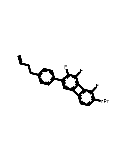 C=CCCc1ccc(-c2cc3c(c(F)c2F)-c2c-3ccc(CCC)c2F)cc1